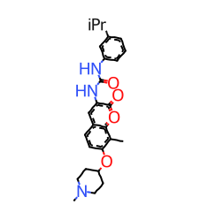 Cc1c(OC2CCN(C)CC2)ccc2cc(NC(=O)Nc3cccc(C(C)C)c3)c(=O)oc12